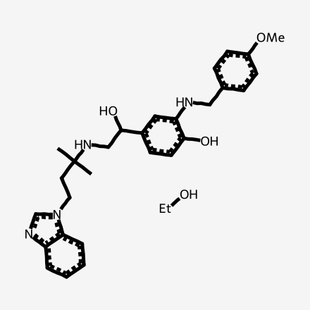 CCO.COc1ccc(CNc2cc(C(O)CNC(C)(C)CCn3cnc4ccccc43)ccc2O)cc1